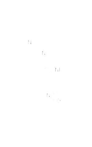 O=C(Nc1cccc(-c2ccc3cnccc3n2)c1)c1ccc(N2CCCCS2(=O)=O)cc1